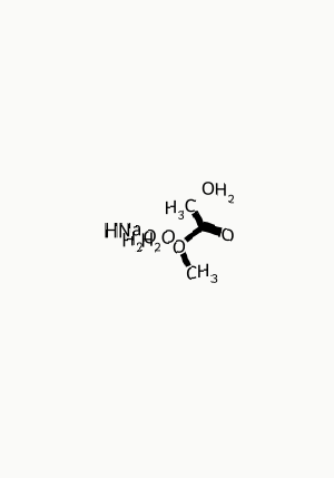 COC(C)=O.O.O.O.[NaH]